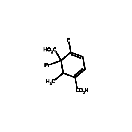 CC(C)C1(C(=O)O)C(F)=CC=C(C(=O)O)C1C